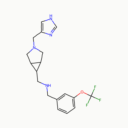 FC(F)(F)Oc1cccc(CNCC2C3CN(Cc4c[nH]cn4)CC23)c1